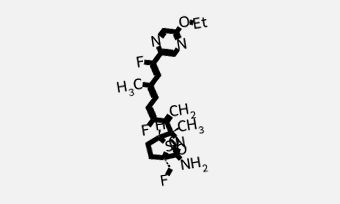 C=C(\C(F)=C/C=C(C)/C=C(\F)c1cnc(OCC)cn1)[C@@]1(C)N=C(N)[C@@]2(CF)CC[C@@H]1S2(=O)=O